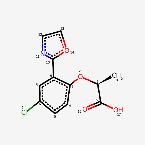 C[C@H](Oc1ccc(Cl)cc1-c1ncco1)C(=O)O